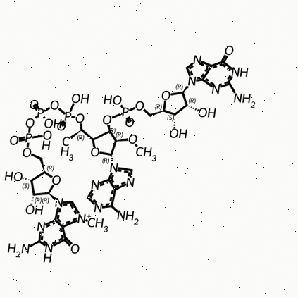 CO[C@@H]1[C@H](OP(=O)(O)OC[C@H]2O[C@@H](n3cnc4c(=O)[nH]c(N)nc43)[C@H](O)[C@@H]2O)C([C@@H](C)OP(=O)(O)OP(=O)(O)OP(=O)(O)OC[C@H]2O[C@@H](n3c[n+](C)c4c(=O)[nH]c(N)nc43)[C@H](O)[C@@H]2O)O[C@H]1n1cnc2c(N)ncnc21